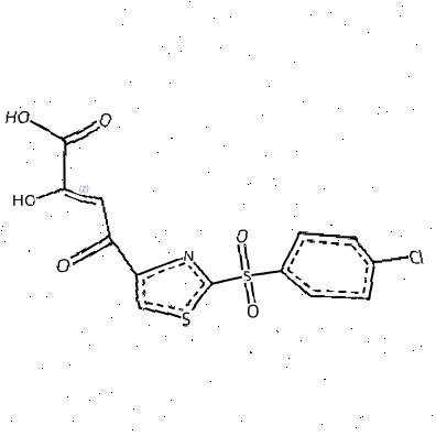 O=C(O)/C(O)=C/C(=O)c1csc(S(=O)(=O)c2ccc(Cl)cc2)n1